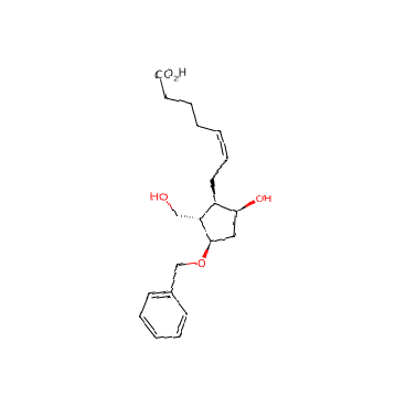 O=C(O)CCC/C=C\C[C@@H]1[C@@H](CO)[C@H](OCc2ccccc2)C[C@@H]1O